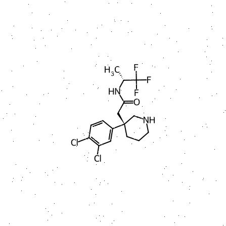 C[C@@H](NC(=O)C[C@]1(c2ccc(Cl)c(Cl)c2)CCCNC1)C(F)(F)F